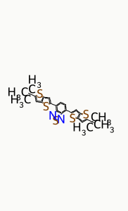 CC(C)(C)c1cc2sc(-c3ccc(-c4cc5sc(C(C)(C)C)cc5s4)c4nsnc34)cc2s1